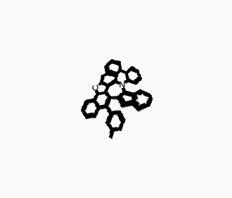 CC1C=C(C2=C3C4=C=c5ccccc5=C4N(C4C=CC=CC4C4C=CC=CC4)C4=C5C(CC=C4)OC(C35)C3C=CC=CC23)C=CC1